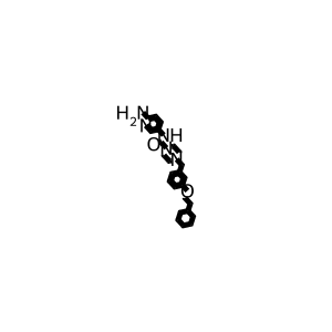 Nc1ccc(NC(=O)N2CCN(Cc3cccc(OCCC4CCCCC4)c3)CC2)cn1